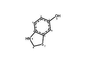 Oc1ccc2c(c1)SCN2